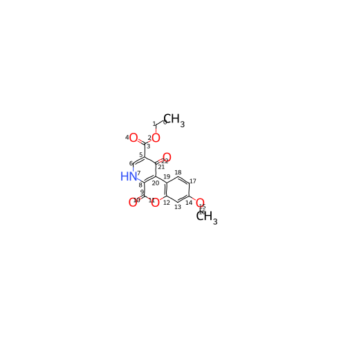 CCOC(=O)c1c[nH]c2c(=O)oc3cc(OC)ccc3c2c1=O